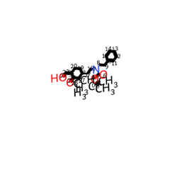 CC(C)(C)OC(=O)N(CCc1ccccc1)CC[C@@H]1CC/C(=C/O)C(=O)C1(C)C